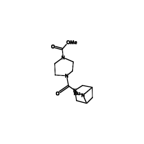 CCC(C)N1C2CC1CN(C(=O)N1CCN(C(=O)OC)CC1)C2